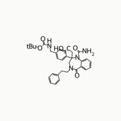 CC(C)(C)OC(=O)NCc1ccc(C2(CC(=O)O)CN(CCc3ccccc3)C(=O)c3ccccc3N2C(N)=O)cc1